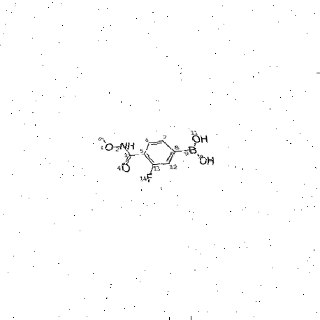 CONC(=O)c1ccc(B(O)O)cc1F